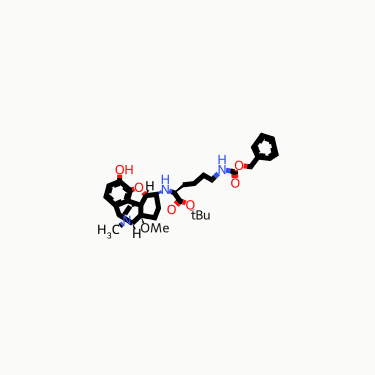 CO[C@@]12CC[C@H](N[C@@H](CCCCNC(=O)OCc3ccccc3)C(=O)OC(C)(C)C)[C@@H]3Oc4c(O)ccc5c4[C@@]31CCN(C)[C@@H]2C5